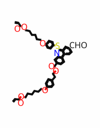 C=CC(=O)OCCCCCCOc1ccc(CCOC(=O)c2ccc3c(c2)nc(Sc2ccc(OCCCCCCOC(=O)C=C)cc2)c2cc(C=O)ccc23)cc1